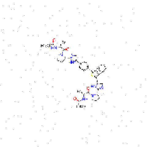 COC(=O)N[C@H](C(=O)N1CCC[C@H]1c1ncc(-c2ccc(-c3sc(-c4cnc([C@@H]5CCCN5C(=O)[C@@H](NC(=O)OC)C(C)C)[nH]4)c4c3C3CCC4C3)cc2)[nH]1)C(C)C